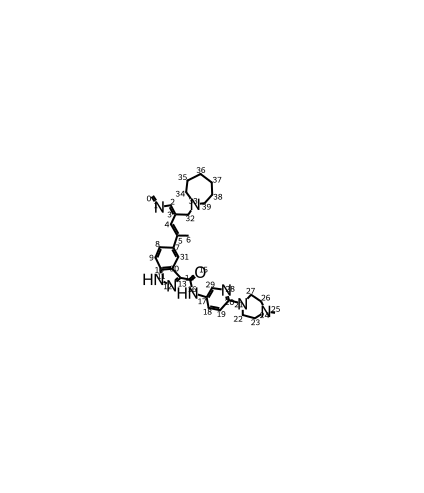 C=N/C=C(\C=C(/C)c1ccc2[nH]nc(C(=O)Nc3ccc(N4CCN(C)CC4)nc3)c2c1)CN1CCCCCC1